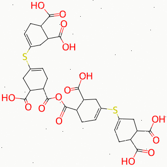 O=C(O)C1CC=C(SC2=CCC(C(=O)OC(=O)C3CC=C(SC4=CCC(C(=O)O)C(C(=O)O)C4)CC3C(=O)O)C(C(=O)O)C2)CC1C(=O)O